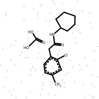 Cc1ccc(CC(=O)NC2CCCCC2)c(Cl)c1.O=C(O)O